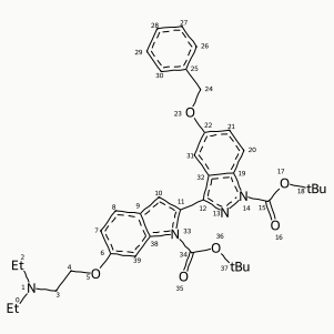 CCN(CC)CCOc1ccc2cc(-c3nn(C(=O)OC(C)(C)C)c4ccc(OCc5ccccc5)cc34)n(C(=O)OC(C)(C)C)c2c1